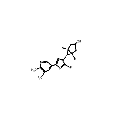 Cc1ncc(-c2cn([C@H]3[C@@H]4CC(O)C[C@@H]43)c(C(C)C)n2)cc1C(F)(F)F